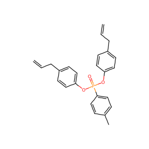 C=CCc1ccc(OP(=O)(Oc2ccc(CC=C)cc2)c2ccc(C)cc2)cc1